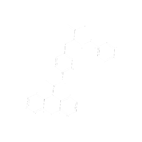 O=C(O)C(Cc1ccc(OC(I)N2c3cccnc3Cc3ncccc32)cc1)OCc1ccccc1